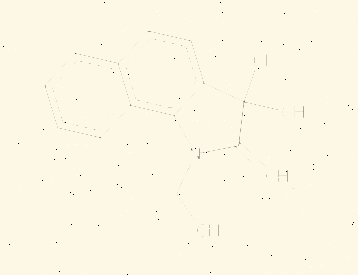 C=C1N(CC)c2c(ccc3ccccc23)C1(C)C